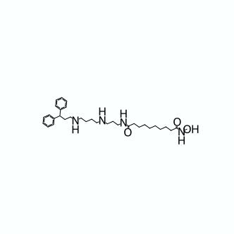 O=C(CCCCCCCCC(=O)NCCCNCCCCNCCC(c1ccccc1)c1ccccc1)NO